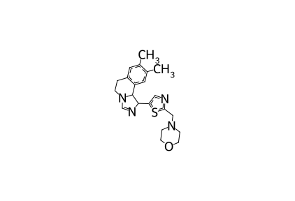 Cc1cc2c(cc1C)C1C(c3cnc(CN4CCOCC4)s3)N=CN1CC2